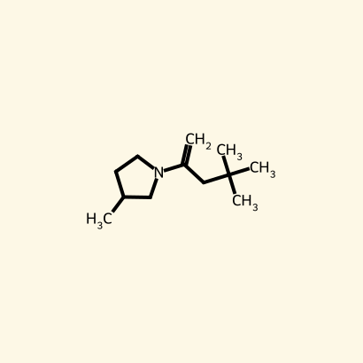 C=C(CC(C)(C)C)N1CCC(C)C1